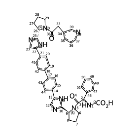 O=C(O)N[C@@H](C(=O)N1CCC[C@H]1c1ncc(-c2ccc(-c3ccc(-c4cnc([C@@H]5CCCN5C(=O)Cc5cccnc5)[nH]4)cc3)cc2)[nH]1)c1ccccc1